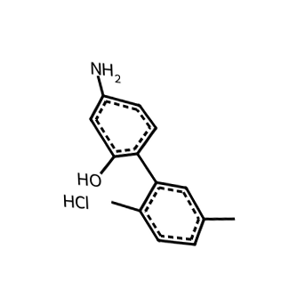 Cc1ccc(C)c(-c2ccc(N)cc2O)c1.Cl